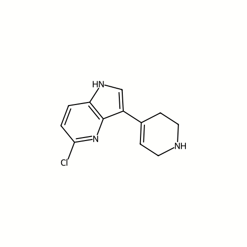 Clc1ccc2[nH]cc(C3=CCNCC3)c2n1